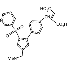 CNCc1cc(-c2ccc(C#N)cc2)n(S(=O)(=O)c2cccnc2)c1.O=C(O)/C=C/C(=O)O